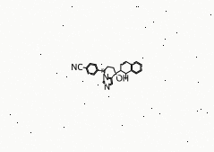 CC1c2ccccc2C=CC1C1(O)CC[C@H](c2ccc(C#N)cc2)n2cncc21